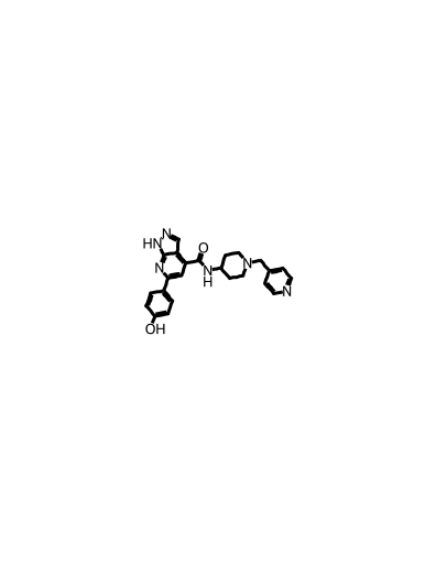 O=C(NC1CCN(Cc2ccncc2)CC1)c1cc(-c2ccc(O)cc2)nc2[nH]ncc12